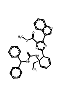 CC[C@]1(NC(=S)NC(c2ccccc2)c2ccccc2)C=CC=CC1c1nc(C(=O)OC)c(-c2c[nH]c3ccccc23)o1